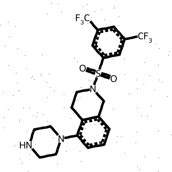 O=S(=O)(c1cc(C(F)(F)F)cc(C(F)(F)F)c1)N1CCc2c(cccc2N2CCNCC2)C1